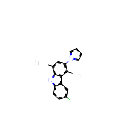 Cc1cc(-n2cccc2)c(C)c2c1[nH]c1ccc(Cl)cc12